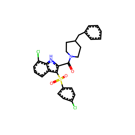 O=C(c1[nH]c2c(Cl)cccc2c1S(=O)(=O)c1ccc(Cl)cc1)N1CCC(Cc2ccccc2)CC1